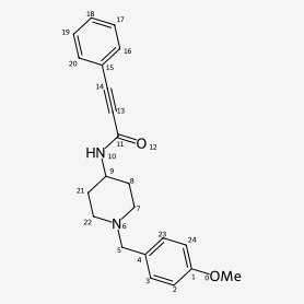 COc1ccc(CN2CCC(NC(=O)C#Cc3ccccc3)CC2)cc1